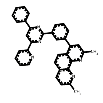 Cc1ccc2ccc3c(-c4cccc(-c5nc(-c6ccccc6)cc(-c6ccccn6)n5)c4)cc(C)nc3c2n1